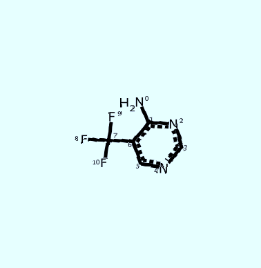 Nc1ncncc1C(F)(F)F